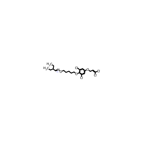 CCC(/C=N/OCCCCCOc1c(Cl)cc(OCC=C(Cl)Cl)cc1Cl)CC